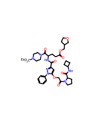 CCOC(=O)N1CCN(C(=O)C(CCC(=O)OCC2CCOC2)NC(=O)c2cc(OCC(=O)N3CCCC3C(=O)NC3CCC3)n(-c3ccccc3)n2)CC1